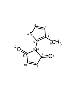 Cc1ccsc1N1C(=O)C=CC1=O